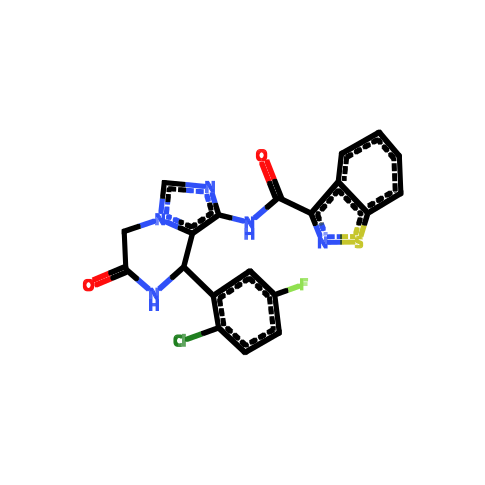 O=C1Cn2cnc(NC(=O)c3nsc4ccccc34)c2C(c2cc(F)ccc2Cl)N1